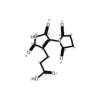 O=C(O)CCC1=C(N2C(=O)CCC2=O)C(=O)NC1=O